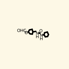 O=COC1CCC(CNC(=O)NC2CCCCC2)CC1